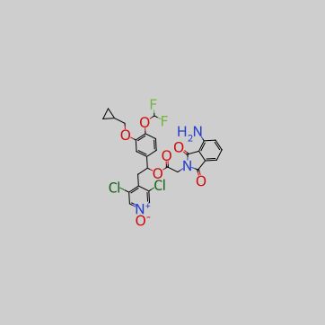 Nc1cccc2c1C(=O)N(CC(=O)OC(Cc1c(Cl)c[n+]([O-])cc1Cl)c1ccc(OC(F)F)c(OCC3CC3)c1)C2=O